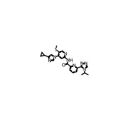 CSc1cnc(NC(=O)c2cccc(-c3nncn3C(C)C)n2)cc1-n1cnc(C2CC2)c1